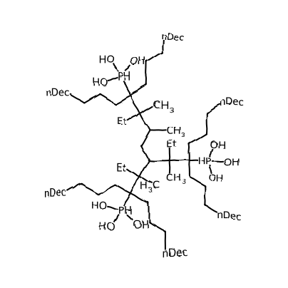 CCCCCCCCCCCCCC(CCCCCCCCCCCCC)(C(C)(CC)C(C)CC(C(C)(CC)C(CCCCCCCCCCCCC)(CCCCCCCCCCCCC)[PH](O)(O)O)C(C)(CC)C(CCCCCCCCCCCCC)(CCCCCCCCCCCCC)[PH](O)(O)O)[PH](O)(O)O